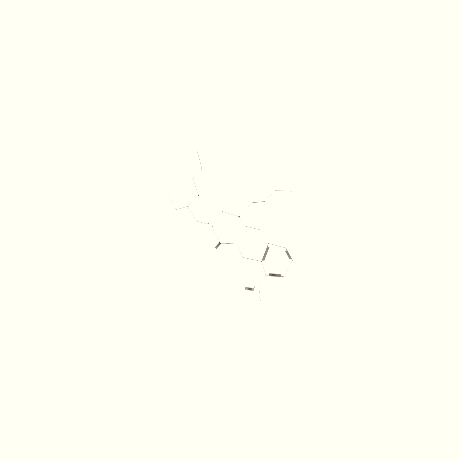 CCCCC(CC)CN(CC(CC)CCCC)C(=O)OCc1ccccc1[N+](=O)[O-]